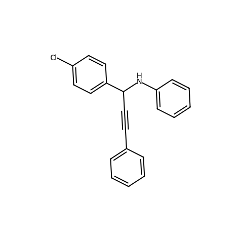 Clc1ccc(C(C#Cc2ccccc2)Nc2ccccc2)cc1